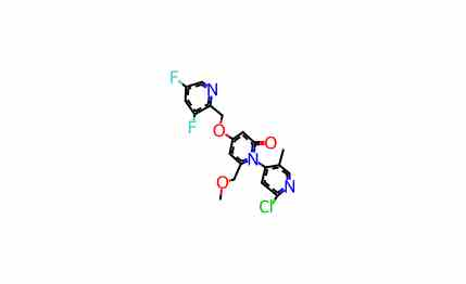 COCc1cc(OCc2ncc(F)cc2F)cc(=O)n1-c1cc(Cl)ncc1C